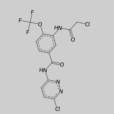 O=C(CCl)Nc1cc(C(=O)Nc2ccc(Cl)nn2)ccc1OC(F)(F)F